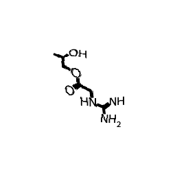 CC(O)COC(=O)CNC(=N)N